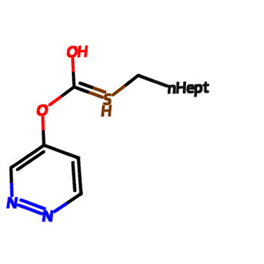 CCCCCCCC[SH]=C(O)Oc1ccnnc1